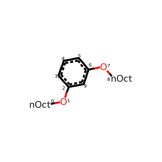 CCCCCCCCOc1[c]ccc(OCCCCCCCC)c1